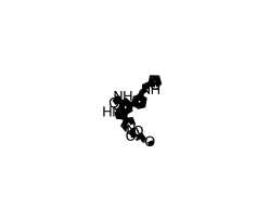 COCCCS(=O)(=O)N1CCC(c2c[nH]c3c(C(N)=O)cc(-c4cccc(CNCC5CCCO5)c4)cc23)CC1